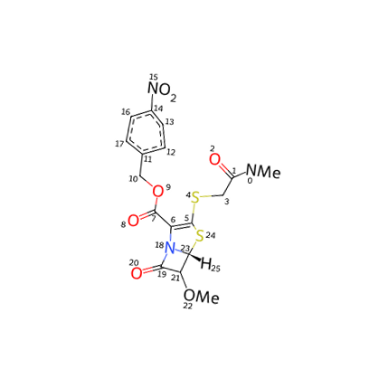 CNC(=O)CSC1=C(C(=O)OCc2ccc([N+](=O)[O-])cc2)N2C(=O)C(OC)[C@H]2S1